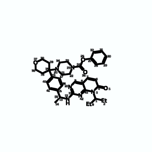 CCC(CC)n1c(=O)ccc2cnc(N[C@@H](C)c3ccc(C4(N5CCN(C(=O)Oc6ccccc6)CC5)CCOCC4)cc3)nc21